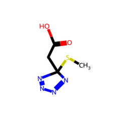 CSC1(CC(=O)O)N=NN=N1